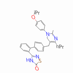 CCCC1=C(Cc2ccc(-c3ccccc3-c3nsc(=O)[nH]3)cc2)CN(c2ccc(OC(C)C)cc2)C(C)=N1